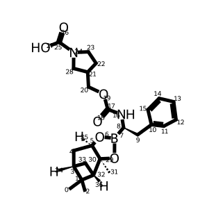 CC1(C)[C@@H]2C[C@H]3OB([C@H](Cc4ccccc4)NC(=O)OCC4CCN(C(=O)O)C4)O[C@@]3(C)[C@H]1C2